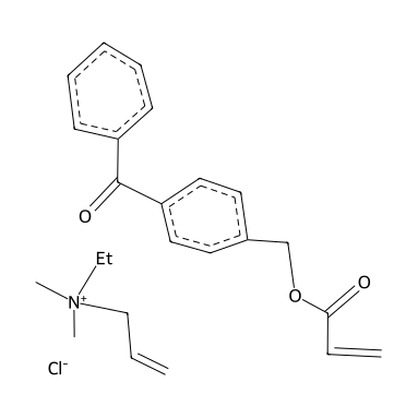 C=CC(=O)OCc1ccc(C(=O)c2ccccc2)cc1.C=CC[N+](C)(C)CC.[Cl-]